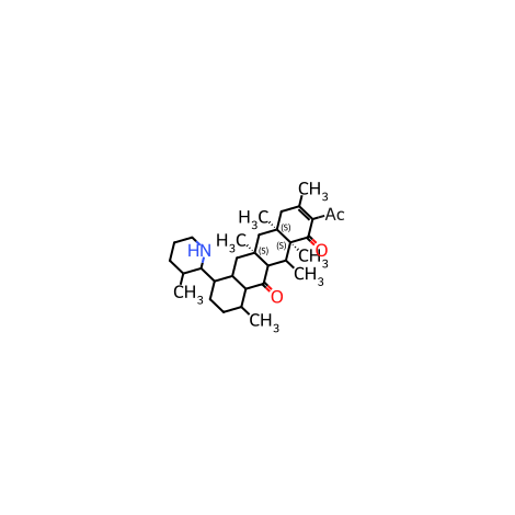 CC(=O)C1=C(C)C[C@]2(C)C[C@]3(C)CC4C(C5NCCCC5C)CCC(C)C4C(=O)C3C(C)[C@]2(C)C1=O